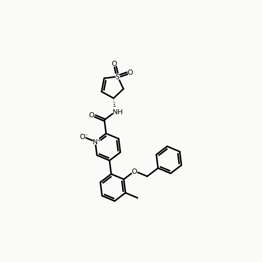 Cc1cccc(-c2ccc(C(=O)N[C@@H]3C=CS(=O)(=O)C3)[n+]([O-])c2)c1OCc1ccccc1